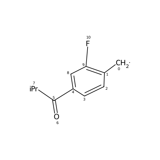 [CH2]c1ccc(C(=O)C(C)C)cc1F